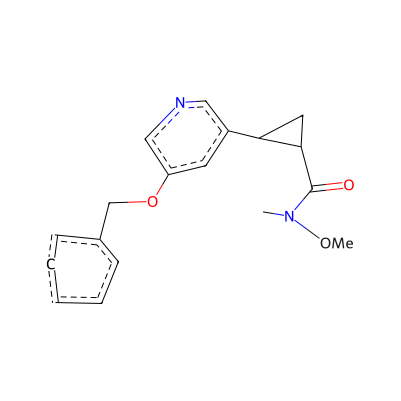 CON(C)C(=O)C1CC1c1cncc(OCc2ccccc2)c1